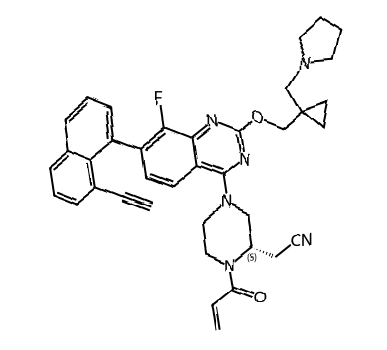 C#Cc1cccc2cccc(-c3ccc4c(N5CCN(C(=O)C=C)[C@@H](CC#N)C5)nc(OCC5(CN6CCCC6)CC5)nc4c3F)c12